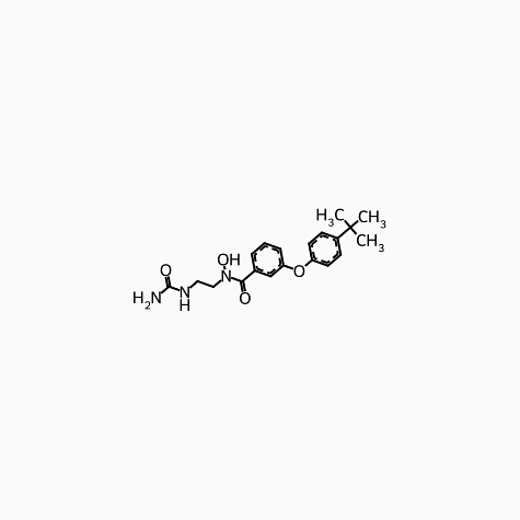 CC(C)(C)c1ccc(Oc2cccc(C(=O)N(O)CCNC(N)=O)c2)cc1